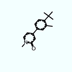 Cc1cc(-c2ccn(C)c(=O)c2)ccc1C(C)(C)C